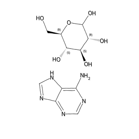 Nc1ncnc2nc[nH]c12.OC[C@H]1OC(O)[C@H](O)[C@@H](O)[C@@H]1O